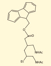 CCC(CNC(C)=O)CC(CNC(C)=O)CC(=O)OCC1c2ccccc2-c2ccccc21